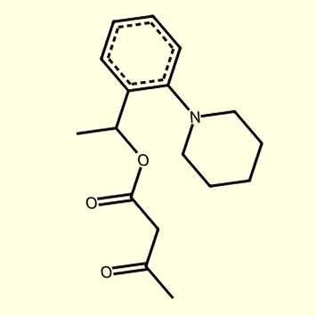 CC(=O)CC(=O)OC(C)c1ccccc1N1CCCCC1